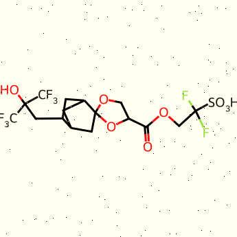 O=C(OCC(F)(F)S(=O)(=O)O)C1COC2(CC3CC2CC3CC(O)(C(F)(F)F)C(F)(F)F)O1